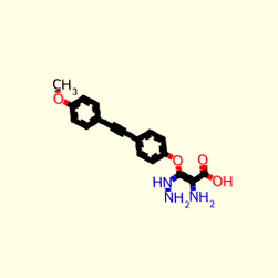 COc1ccc(C#Cc2ccc(O/C(NN)=C(/N)C(=O)O)cc2)cc1